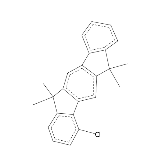 CC1(C)c2ccccc2-c2cc3c(cc21)-c1c(Cl)cccc1C3(C)C